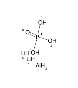 O=P(O)(O)O.[AlH3].[LiH].[LiH]